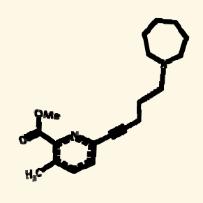 COC(=O)c1nc(C#CCCCN2CCCCCC2)ccc1C